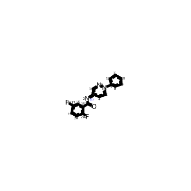 O=C(/N=c1\ccn(-c2ccccc2)nc1)c1cc(F)ccc1F